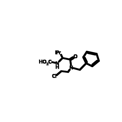 CC(C)C(NC(=O)O)C(=O)N(CCCl)Cc1ccccc1